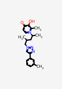 Cc1cccc(-c2cn(CC(C)CC(C)n3ccc(=O)c(O)c3C)nn2)c1